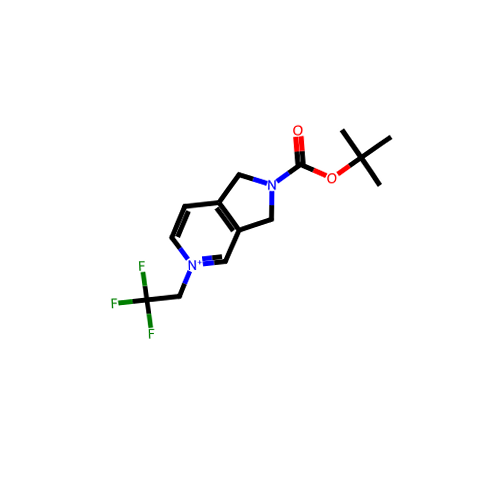 CC(C)(C)OC(=O)N1Cc2cc[n+](CC(F)(F)F)cc2C1